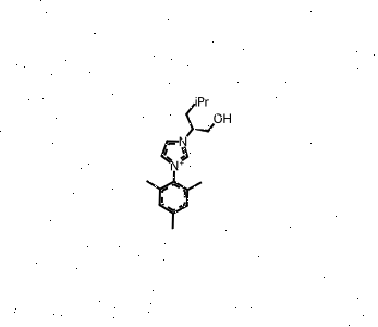 Cc1cc(C)c(-[n+]2ccn([C@H](CO)CC(C)C)c2)c(C)c1